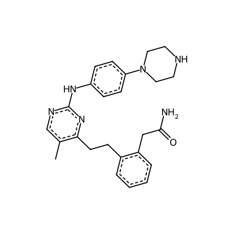 Cc1cnc(Nc2ccc(N3CCNCC3)cc2)nc1CCc1ccccc1CC(N)=O